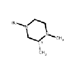 CCC(C)N1CCN(C)[C@H](C)C1